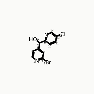 OC(c1ccnc(Br)c1)c1ccc(Cl)cn1